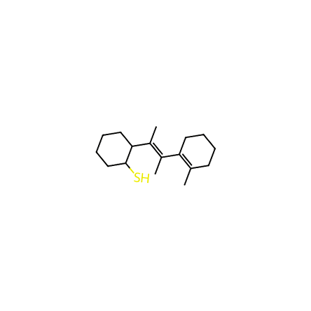 CC1=C(/C(C)=C(\C)C2CCCCC2S)CCCC1